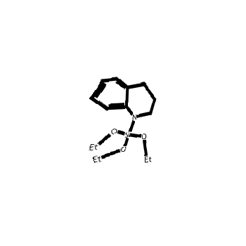 CCO[Si](OCC)(OCC)N1CCCc2ccccc21